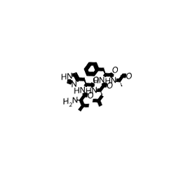 CC(C)C[C@H](NC(=O)[C@H](Cc1c[nH]cn1)NC(=O)[C@@H](N)C(C)C)C(=O)N[C@@H](Cc1ccccc1)C(=O)N[C@@H](C)[C]=O